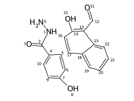 NNC(=O)c1ccc(O)cc1.O=Cc1c(O)ccc2ccccc12